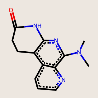 CN(C)c1nc2c(c3cccnc13)CCC(=O)N2